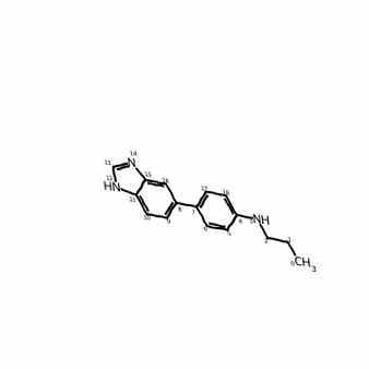 CCCNc1ccc(-c2ccc3[nH]cnc3c2)cc1